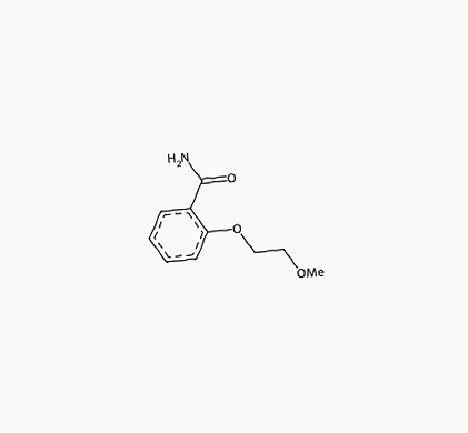 COCCOc1ccccc1C(N)=O